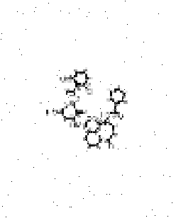 O=C(O)C[C@H](NC(=O)[C@@H]1CCCN2C(=O)CCN(NC(=O)c3ccccc3)C(=O)N12)C(=O)COC(=O)c1c(Cl)cccc1Cl